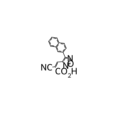 N#CC(=Cc1nonc1-c1ccc2ccccc2c1)C(=O)O